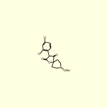 CON1CCC2(CC1)OC(=O)C(c1ccc(Cl)cc1Cl)C2=O